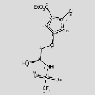 CCOC(=O)c1nc(OC[C@H](C)NS(=O)(=O)C(F)(F)F)sc1Cl